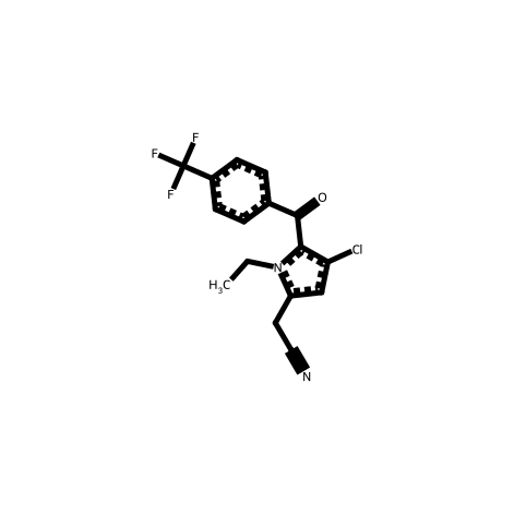 CCn1c(CC#N)cc(Cl)c1C(=O)c1ccc(C(F)(F)F)cc1